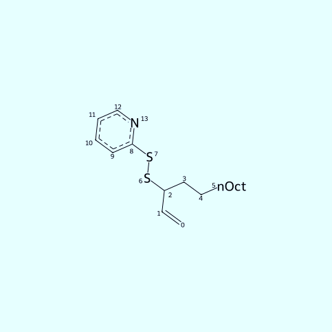 C=CC(CCCCCCCCCC)SSc1ccccn1